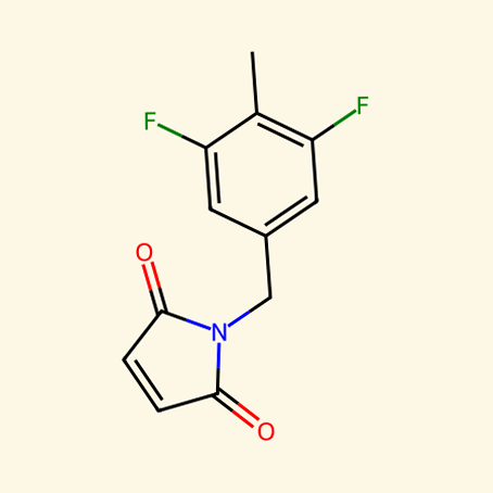 Cc1c(F)cc(CN2C(=O)C=CC2=O)cc1F